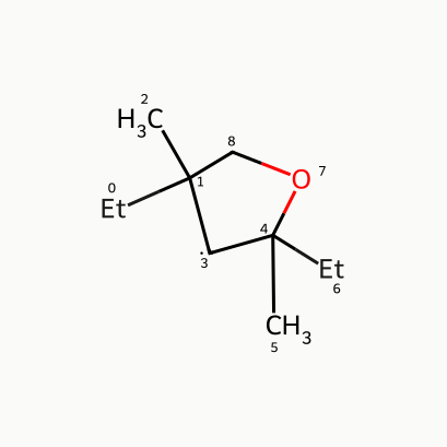 CCC1(C)[CH]C(C)(CC)OC1